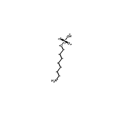 NCCCCCCCOS(=O)(O)=S